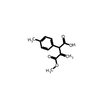 C=C(C(=O)OC)C(C(=O)O)c1ccc(C)cc1